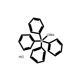 COP(c1ccccc1)(c1ccccc1)(c1ccccc1)c1ccccc1.Cl